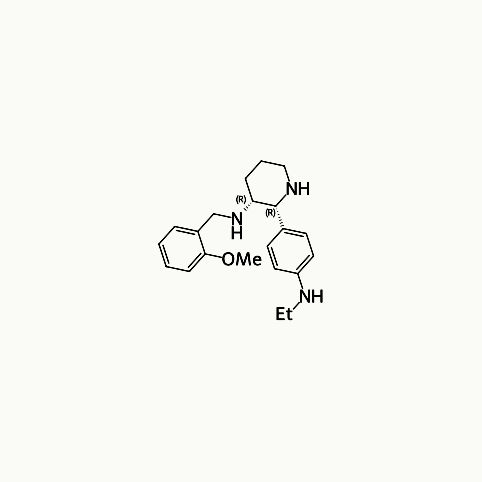 CCNc1ccc([C@H]2NCCC[C@H]2NCc2ccccc2OC)cc1